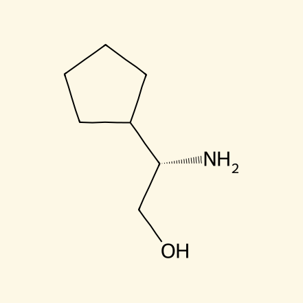 N[C@H](CO)C1CCCC1